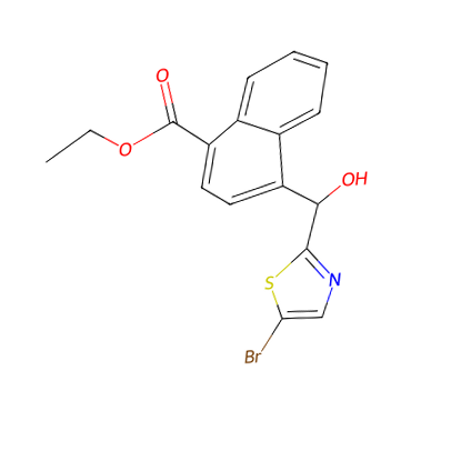 CCOC(=O)c1ccc(C(O)c2ncc(Br)s2)c2ccccc12